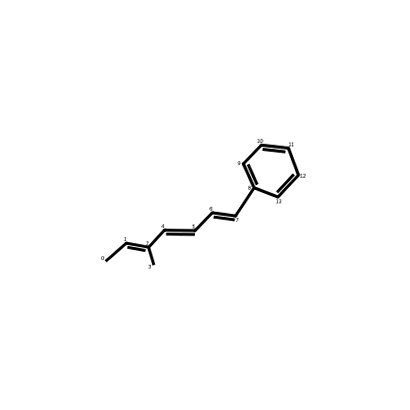 C/C=C(C)/C=C/C=C/c1ccccc1